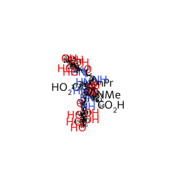 CCCC(=O)N[C@@H](CCC(=O)NC[C@H](O)[C@@H](O)[C@H](O)[C@H](O)CO)C(=O)N[C@@H](CCC(=O)O)C(=O)N[C@@H](CCC(=O)NC[C@H](O)[C@@H](O)[C@H](O)[C@H](O)CO)C(=O)N[C@@H](CCC(=O)O)C(=O)NC